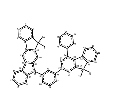 CC1(C)c2ccccc2-c2cc3c4ccccc4n(-c4cccc(-c5nc(-c6ccccc6)c6c(n5)[Si](C)(C)c5ccccc5-6)c4)c3cc21